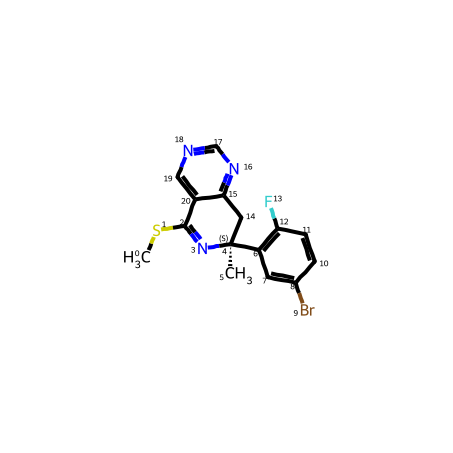 CSC1=N[C@](C)(c2cc(Br)ccc2F)Cc2ncncc21